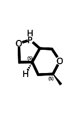 C[C@H]1C[C@H]2COPC2CO1